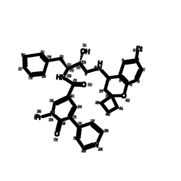 CCc1ccc2c(c1)C(NC[C@@H](O)[C@H](Cc1ccccc1)NC(=O)c1cc(-c3ccncc3)c(=O)n(C(C)C)c1)CC1(CCC1)O2